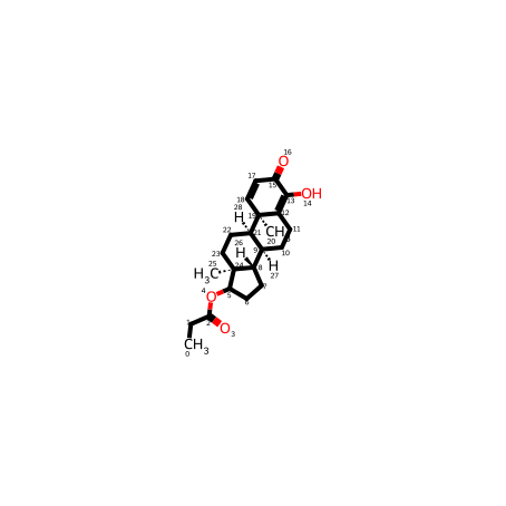 CCC(=O)OC1CC[C@H]2[C@@H]3CCC4=C(O)C(=O)C=C[C@]4(C)[C@@H]3CC[C@]12C